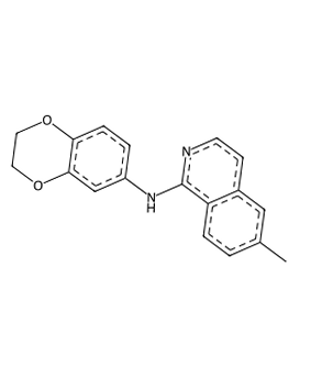 Cc1ccc2c(Nc3ccc4c(c3)OCCO4)nccc2c1